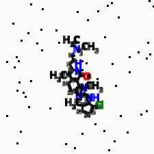 CCN(CC)CC=Cc1[nH]c(=O)c2c(ccc3nc(Nc4c(C)cccc4Cl)n(C)c32)c1C